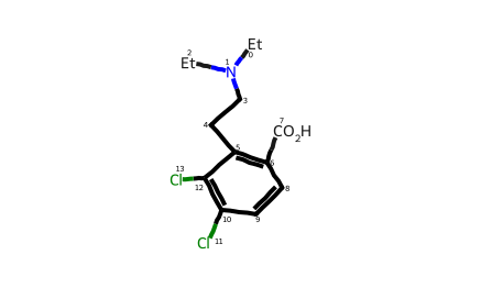 CCN(CC)CCc1c(C(=O)O)ccc(Cl)c1Cl